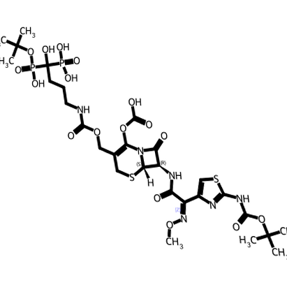 CO/N=C(\C(=O)N[C@@H]1C(=O)N2C(OC(=O)O)=C(COC(=O)NCCCC(O)(P(=O)(O)O)P(=O)(O)OC(C)(C)C)CS[C@@H]12)c1csc(NC(=O)OC(C)(C)C)n1